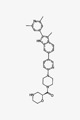 Cc1cc(-c2[nH]c3cc(-c4ccc(N5CCN(C(=O)[C@@H]6CNCCO6)CC5)nc4)ccc3c2C)cc(C)n1